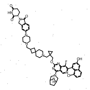 O=C1CC[C@H](N2Cc3cc(N4CCN(CC5CC6(CCN(CC7(COc8nc(N9CC%10CCC(C9)N%10)c9cnc(-c%10cc(O)cc%11cccc(Cl)c%10%11)c(F)c9n8)CC7)CC6)C5)CC4)ccc3C2=O)C(=O)N1